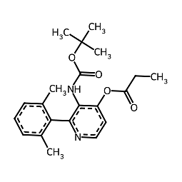 CCC(=O)Oc1ccnc(-c2c(C)cccc2C)c1NC(=O)OC(C)(C)C